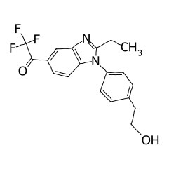 CCc1nc2cc(C(=O)C(F)(F)F)ccc2n1-c1ccc(CCO)cc1